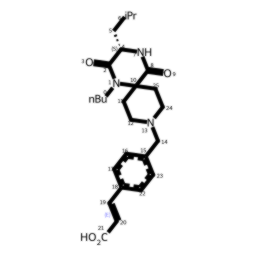 CCCCN1C(=O)[C@H](CC(C)C)NC(=O)C12CCN(Cc1ccc(/C=C/C(=O)O)cc1)CC2